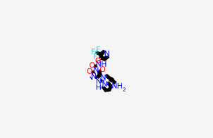 CC#CCN1c2c(n(C)c(=O)n(C(=O)NOc3ccncc3C(F)(F)F)c2=O)NC1N1CCCC(N)C1